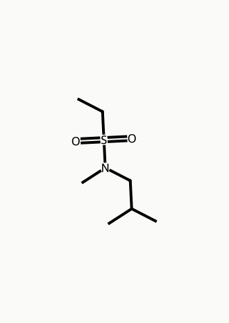 CCS(=O)(=O)N(C)CC(C)C